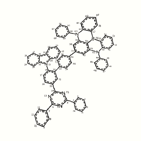 c1ccc(-c2nc(-c3ccccc3)nc(-c3ccc(-n4c5ccccc5c5ccccc54)c(-c4ccc(-c5cc6c7c(c5)N(c5ccccc5)c5ccccc5B7c5ccccc5N6c5ccccc5)cc4)c3)n2)cc1